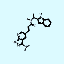 CC(c1cc2ccccc2[nH]1)N(C)C(=O)C=Cc1cnc2[nH]nc(N(C)C)c2c1